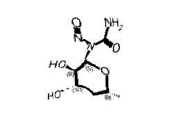 C[C@@H]1C[C@H](O)[C@@H](O)[C@@H](N(N=O)C(N)=O)O1